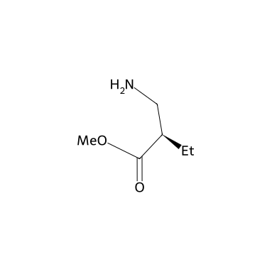 CC[C@H](CN)C(=O)OC